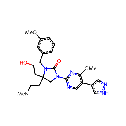 CNCCC1(CCO)CN(c2ncc(-c3cn[nH]c3)c(OC)n2)C(=O)N1Cc1cccc(OC)c1